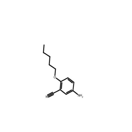 CCCCCOc1ccc(N)cc1C#N